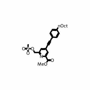 CCCCCCCCc1ccc(C#Cc2cc(COS(C)(=O)=O)nc(C(=O)OC)c2)cc1